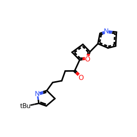 CC(C)(C)C1=CCC(CCCC(=O)c2ccc(-c3cccnc3)o2)=N1